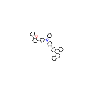 c1ccc(-c2cc(-c3ccc(N(c4ccccc4)c4ccc(-c5cccc6c5oc5ccccc56)cc4)cc3)ccc2-c2cccc3ccccc23)cc1